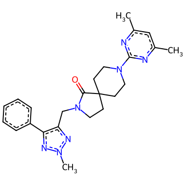 Cc1cc(C)nc(N2CCC3(CCN(Cc4nn(C)nc4-c4ccccc4)C3=O)CC2)n1